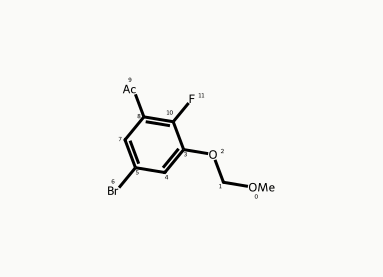 COCOc1cc(Br)cc(C(C)=O)c1F